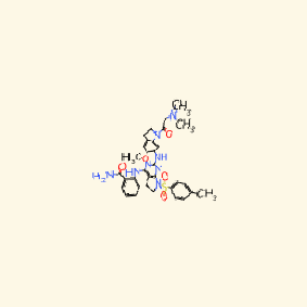 COc1cc2c(cc1Nc1nc(Nc3ccccc3C(N)=O)c3c(n1)N(S(=O)(=O)c1ccc(C)cc1)CC3)N(C(=O)CN(C)C)CC2